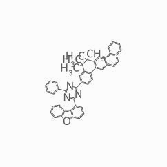 CC1(C)c2cc(-c3nc(-c4ccccc4)nc(-c4cccc5oc6ccccc6c45)n3)ccc2-c2cc3ccc4ccccc4c3cc2C1(C)C